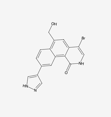 O=c1[nH]cc(Br)c2cc(CO)c3ccc(-c4cn[nH]c4)cc3c12